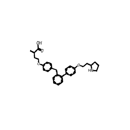 CC(CCOc1ccc(Cc2ccccc2-c2ccc(OCCC3CCCN3)cc2)cc1)C(=O)O